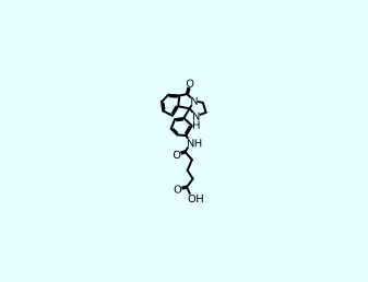 O=C(O)CCCC(=O)Nc1cccc(C23NCCN2C(=O)c2ccccc23)c1